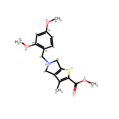 COC(=O)c1sc2c(c1C)CN(Cc1ccc(OC)cc1OC)C2